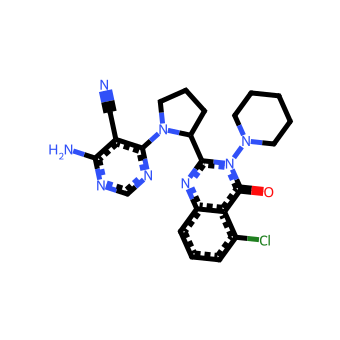 N#Cc1c(N)ncnc1N1CCCC1c1nc2cccc(Cl)c2c(=O)n1N1CCCCC1